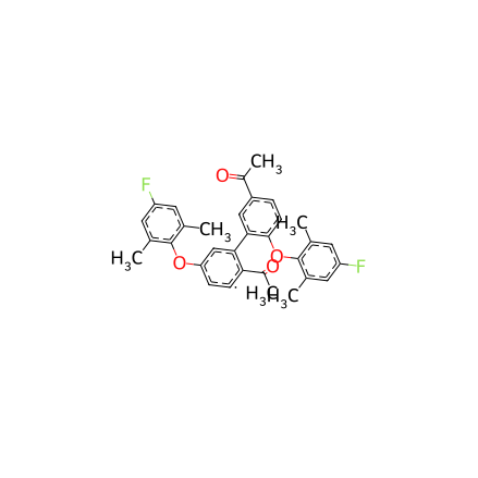 CC(=O)c1ccc(Oc2c(C)cc(F)cc2C)c(-c2cc(Oc3c(C)cc(F)cc3C)c[c]c2C(C)=O)c1